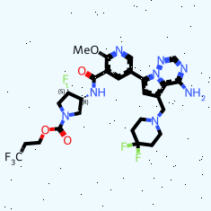 COc1ncc(-c2cc(CN3CCC(F)(F)CC3)c3c(N)ncnn23)cc1C(=O)N[C@@H]1CN(C(=O)OCCC(F)(F)F)C[C@@H]1F